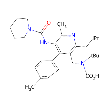 Cc1ccc(-c2c(CN(C(=O)O)C(C)(C)C)c(CC(C)C)nc(C)c2NC(=O)N2CCCCC2)cc1